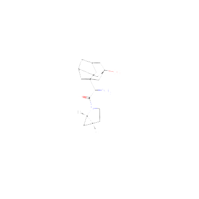 NC(C(=O)N1CC[C@@H]2C[C@@H]21)C12CC3CC(CC(O)(C3)C1)C2